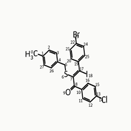 Cc1ccc(CSC(C(=O)c2ccc(Cl)cc2)=C(I)c2ccc(Br)cc2)cc1